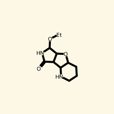 CCOC1NC(=O)C2C3NCCCC3OC12